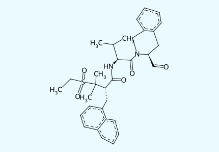 CCS(=O)(=O)C(C)(C)[C@@H](Cc1cccc2ccccc12)C(=O)N[C@H](C(=O)N1Cc2ccccc2C[C@H]1C=O)C(C)C